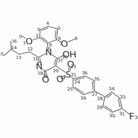 COc1cccc(OC)c1-n1c(CCC(C)C)nc(=O)c(S(=O)(=O)c2ccc(-c3ccc(F)cc3)cc2)c1O